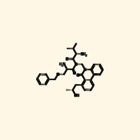 CCN(CN(C(=O)C(N)COCc1ccccc1)C(=O)C(N)C(C)C)C(=O)c1c(C[C@@H](C)O)cccc1-c1ccccc1